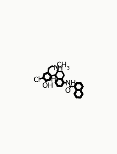 CN1CCc2cc(Cl)c(O)cc2[C@H]2c3cccc(NC(=O)c4cccc5ccccc45)c3CC[C@@H]21